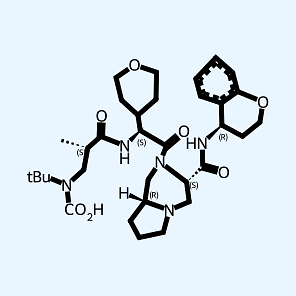 C[C@@H](CN(C(=O)O)C(C)(C)C)C(=O)N[C@H](C(=O)N1C[C@H]2CCCN2C[C@H]1C(=O)N[C@@H]1CCOc2ccccc21)C1CCOCC1